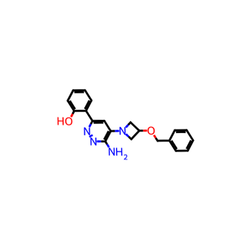 Nc1nnc(-c2ccccc2O)cc1N1CC(OCc2ccccc2)C1